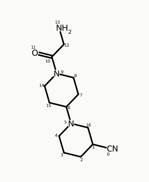 N#CC1CCCN(C2CCN(C(=O)CN)CC2)C1